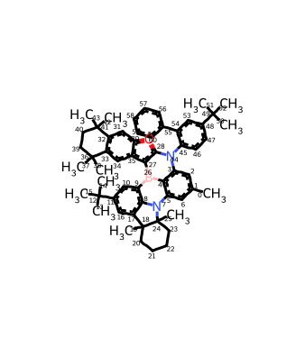 Cc1cc2c3c(c1)N1c4c(cc(C(C)(C)C)cc4C4(C)CCCCC14C)B3c1c(oc3cc4c(cc13)C(C)(C)CCC4(C)C)N2c1ccc(C(C)(C)C)cc1-c1ccccc1